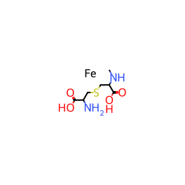 CNC(CSCC(N)C(=O)O)C(=O)O.[Fe]